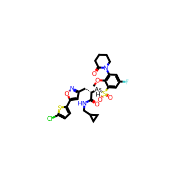 COc1c(N2CCCCC2=O)cc(F)cc1S(=O)(=O)[AsH][C@@H](Cc1cc(-c2ccc(Cl)s2)on1)C(=O)NCC1CC1